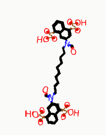 O=CN(CCCCCCCCCCN(C=O)c1cc(S(=O)(=O)O)c2cccc(S(=O)(=O)O)c2c1)c1cc(S(=O)(=O)O)c2cccc(S(=O)(=O)O)c2c1